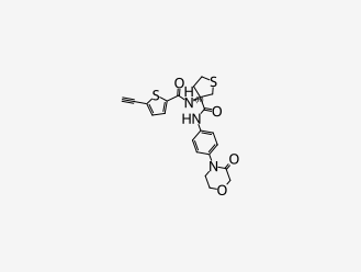 C#Cc1ccc(C(=O)N[C@@]2(C(=O)Nc3ccc(N4CCOCC4=O)cc3)CCSC2)s1